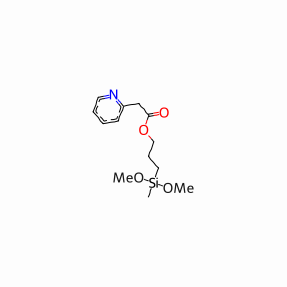 CO[Si](C)(CCCOC(=O)Cc1ccccn1)OC